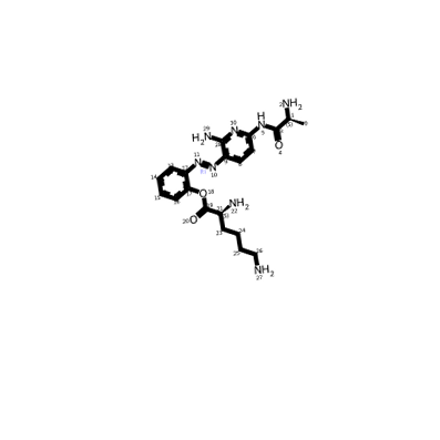 C[C@H](N)C(=O)Nc1ccc(/N=N/c2ccccc2OC(=O)[C@@H](N)CCCCN)c(N)n1